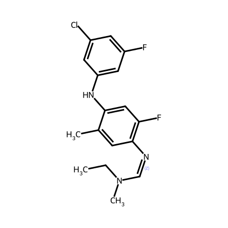 CCN(C)/C=N\c1cc(C)c(Nc2cc(F)cc(Cl)c2)cc1F